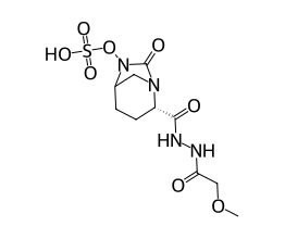 COCC(=O)NNC(=O)[C@@H]1CCC2CN1C(=O)N2OS(=O)(=O)O